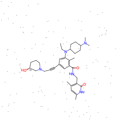 CCN(c1cc(C#CCN2CCC[C@H](O)C2)cc(C(=O)NCc2c(C)cc(C)[nH]c2=O)c1C)C1CCC(N(C)C)CC1